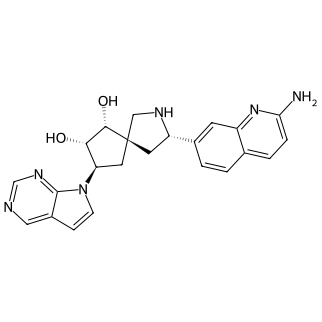 Nc1ccc2ccc([C@@H]3C[C@@]4(CN3)C[C@@H](n3ccc5cncnc53)[C@H](O)[C@@H]4O)cc2n1